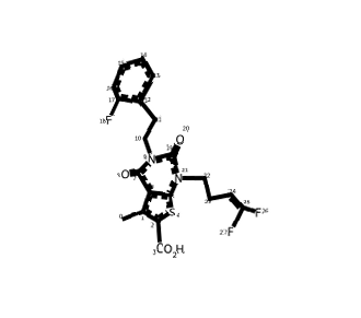 Cc1c(C(=O)O)sc2c1c(=O)n(CCc1ccccc1F)c(=O)n2CCC=C(F)F